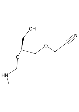 CNCO[C@@H](CO)COCC#N